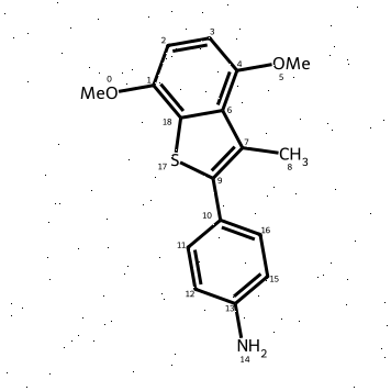 COc1ccc(OC)c2c(C)c(-c3ccc(N)cc3)sc12